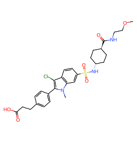 COCCNC(=O)[C@H]1CC[C@H](NS(=O)(=O)c2ccc3c(Cl)c(-c4ccc(CCC(=O)O)cc4)n(C)c3c2)CC1